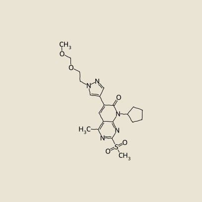 COCOCCn1cc(-c2cc3c(C)nc(S(C)(=O)=O)nc3n(C3CCCC3)c2=O)cn1